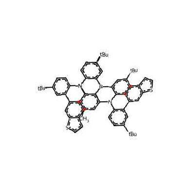 Cc1cc2c3c(c1)N(c1ccc(C(C)(C)C)cc1-c1ccc4ccsc4c1)c1ccc(C(C)(C)C)cc1B3c1cc(C(C)(C)C)ccc1N2c1ccc(C(C)(C)C)cc1-c1ccc2ccsc2c1